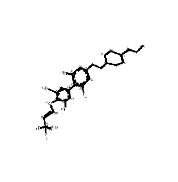 CCCC1CCC(CCc2cc(F)c(-c3cc(F)c(O/C=C/C(F)(F)F)c(F)c3)c(F)c2)CC1